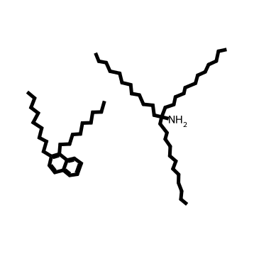 CCCCCCCCCCCCC(N)(CCCCCCCCCCCC)CCCCCCCCCCCC.CCCCCCCCCc1ccc2ccccc2c1CCCCCCCCC